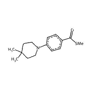 CSC(=O)c1ccc(N2CCC(C)(C)CC2)cc1